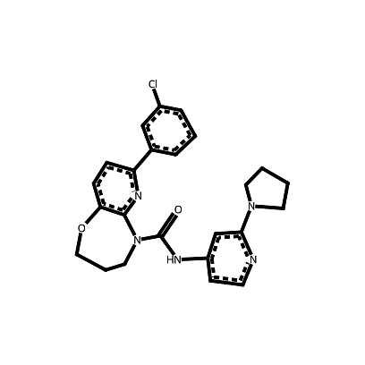 O=C(Nc1ccnc(N2CCCC2)c1)N1CCCOc2ccc(-c3cccc(Cl)c3)nc21